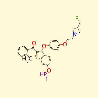 Cc1ccccc1C(=O)c1sc2cc(OPI)ccc2c1Oc1ccc(OCCN2CC(CF)C2)cc1